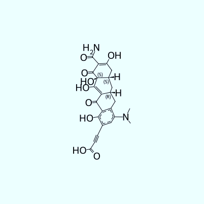 CN(C)c1cc(C#CC(=O)O)c(O)c2c1C[C@H]1C[C@H]3CC(O)=C(C(N)=O)C(=O)[C@@]3(O)C(O)=C1C2=O